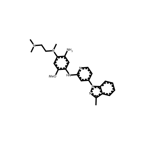 COc1cc(N(C)CCN(C)C)c(N)cc1Nc1cc(-n2nc(C)c3ccccc32)ccn1